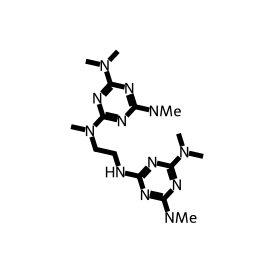 CNc1nc(NCCN(C)c2nc(NC)nc(N(C)C)n2)nc(N(C)C)n1